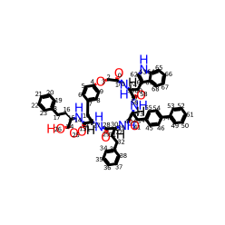 O=C1COc2ccc(cc2)C[C@@H](C(=O)N[C@H](CCc2ccccc2)C(=O)O)NC(=O)[C@H](CCc2ccccc2)NC(=O)[C@@H](Cc2ccc(-c3ccccc3)cc2)NC(=O)[C@H](Cc2c[nH]c3ccccc23)N1